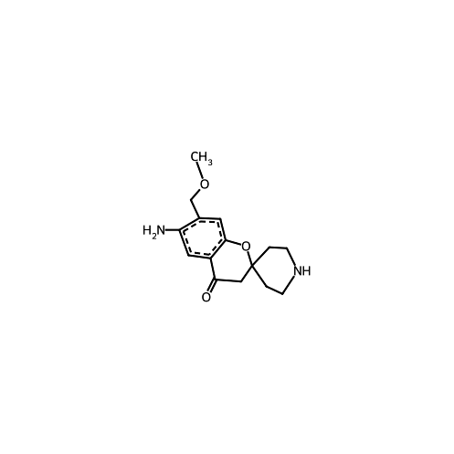 COCc1cc2c(cc1N)C(=O)CC1(CCNCC1)O2